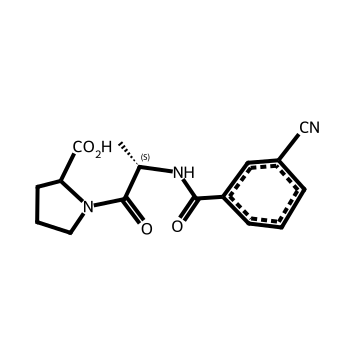 C[C@H](NC(=O)c1cccc(C#N)c1)C(=O)N1CCCC1C(=O)O